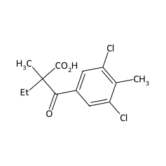 CCC(C)(C(=O)O)C(=O)c1cc(Cl)c(C)c(Cl)c1